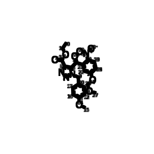 CCOC(=O)c1nnn(Cc2ccc(OC)cc2)c1C(=O)c1cc(OCOC)ccc1[N+](=O)[O-]